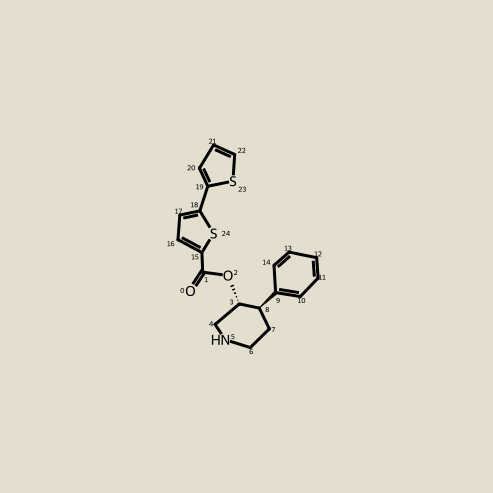 O=C(O[C@H]1CNCC[C@@H]1c1ccccc1)c1ccc(-c2cccs2)s1